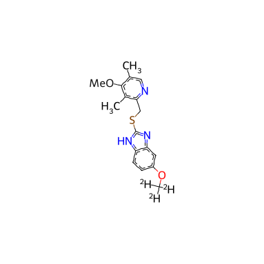 [2H]C([2H])([2H])Oc1ccc2[nH]c(SCc3ncc(C)c(OC)c3C)nc2c1